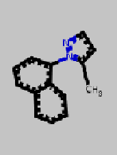 Cc1ccnn1-c1cccc2ccccc12